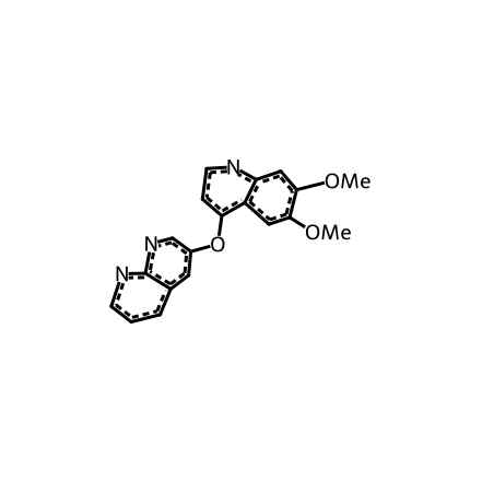 COc1cc2nccc(Oc3cnc4ncccc4c3)c2cc1OC